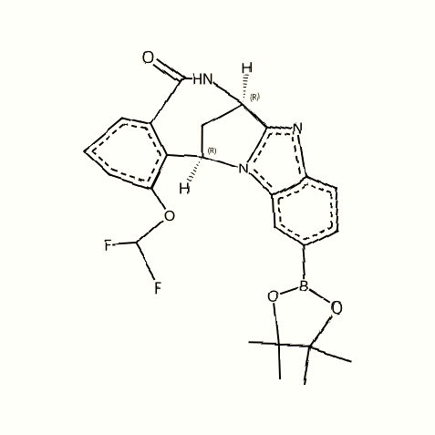 CC1(C)OB(c2ccc3nc4n(c3c2)[C@@H]2C[C@H]4NC(=O)c3cccc(OC(F)F)c32)OC1(C)C